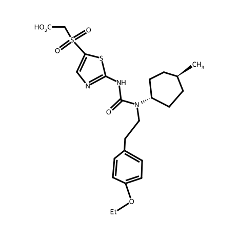 CCOc1ccc(CCN(C(=O)Nc2ncc(S(=O)(=O)CC(=O)O)s2)[C@H]2CC[C@H](C)CC2)cc1